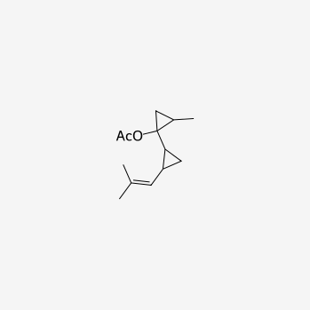 CC(=O)OC1(C2CC2C=C(C)C)CC1C